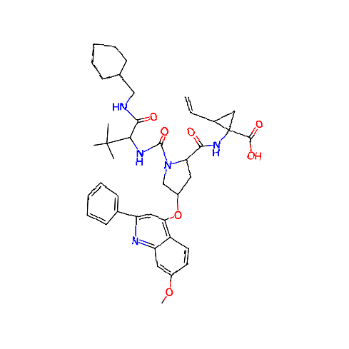 C=CC1CC1(NC(=O)C1CC(Oc2cc(-c3ccccc3)nc3cc(OC)ccc23)CN1C(=O)NC(C(=O)NCC1CCCCC1)C(C)(C)C)C(=O)O